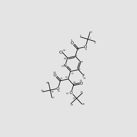 CC(C)(C)OC(=O)c1cc(F)c(C(C(=O)OC(C)(C)C)C(=O)OC(C)(C)C)nc1Cl